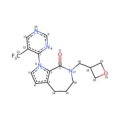 O=C1c2c(ccn2-c2ncncc2C(F)(F)F)CCCN1CC1COC1